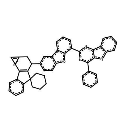 C1=C2CC(c3ccc4oc5c(-c6nc(-c7ccccc7)c7sc8ccccc8c7n6)cccc5c4c3)C3=C(c4ccccc4C34CCCCC4)[C@@H]12